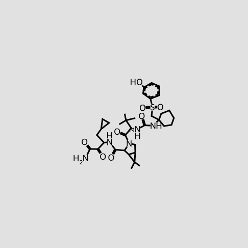 CC1(C)C2CN(C(=O)[C@@H](NC(=O)NC3(CS(=O)(=O)c4cccc(O)c4)CCCCC3)C(C)(C)C)C(C(=O)NC(CC3CC3)C(=O)C(N)=O)C21